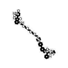 O=C1CCC(C2C(=O)c3cccc(NCCOCCOCCOCCOCCN4CCN(c5ccc(-c6ccc7c(c6)C(=O)N(C(C(=O)Nc6nccs6)c6ccccc6)C7)cc5)CC4)c3C2=O)C(=O)N1